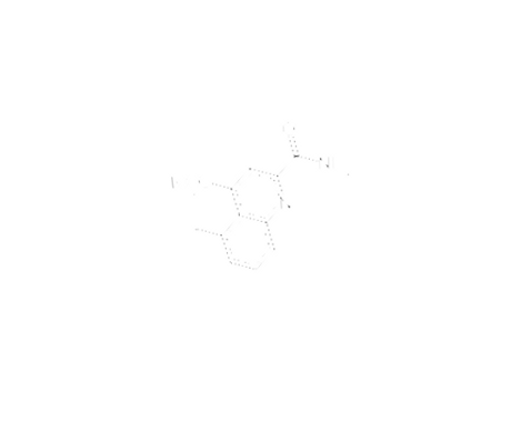 NC(=O)c1cc(C(=O)O)c2c(I)cccc2n1